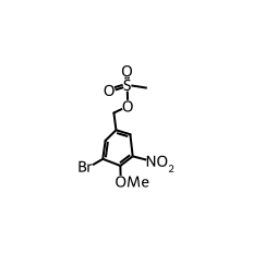 COc1c(Br)cc(COS(C)(=O)=O)cc1[N+](=O)[O-]